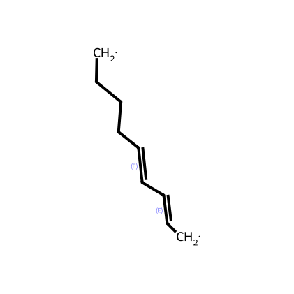 [CH2]/C=C/C=C/CCC[CH2]